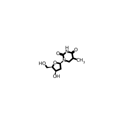 CC1CN([C@H]2C[C@@H](O)[C@@H](CO)O2)C(=O)NC1=O